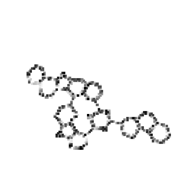 c1ccc(-c2nc(-c3ccc4c(ccc5ccccc54)c3)nc(-c3cccc4oc5ccc(-c6cccc7oc8c9ccccc9ccc8c67)cc5c34)n2)cc1